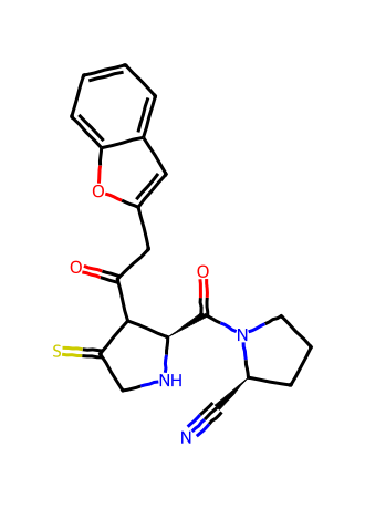 N#C[C@@H]1CCCN1C(=O)[C@H]1NCC(=S)C1C(=O)Cc1cc2ccccc2o1